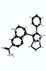 CC(=O)c1ccc2c(-c3c(-c4ccccn4)nn4c3CCC4)ccnc2c1